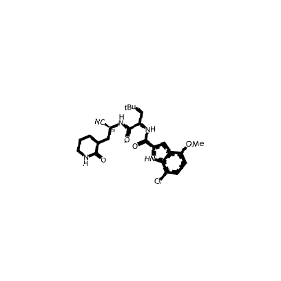 COc1ccc(Cl)c2[nH]c(C(=O)NC(CC(C)(C)C)C(=O)N[C@H](C#N)CC3CCCNC3=O)cc12